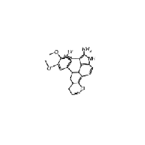 COc1cc(C2CC3CC=COC3=C3C=Cc4[nH]c(N)c(C#N)c4C32)cc(Br)c1OC